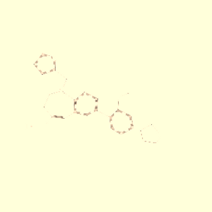 C1CCOC1.CCOc1ccccc1-c1ccc2c(c1)C=C(C(=O)O)CCN2Cc1cccs1